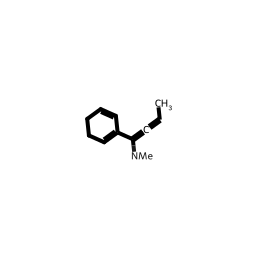 CC=C=C(NC)C1=CCCC=C1